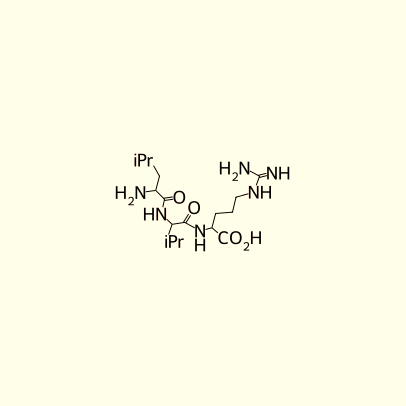 CC(C)CC(N)C(=O)NC(C(=O)NC(CCCNC(=N)N)C(=O)O)C(C)C